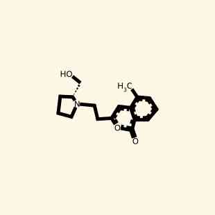 Cc1cccc2c(=O)oc(CCN3CCC[C@@H]3CO)cc12